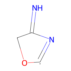 N=C1CO[C]=N1